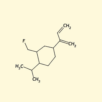 C=CC(=C)C1CCC(C(C)C)C(CF)C1